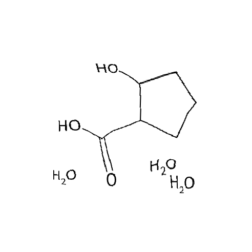 O.O.O.O=C(O)C1CCCC1O